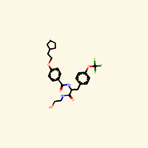 O=C(NC(Cc1ccc(OC(F)(F)F)cc1)C(=O)NCCO)c1ccc(OCCC2CCCC2)cc1